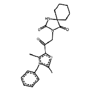 Cc1nc(C(=O)CN2C(=O)NC3(CCCCC3)C2=O)c(C)n1-c1ccccc1